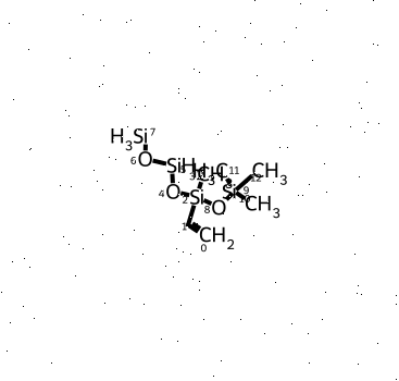 C=C[Si](C)(O[SiH2]O[SiH3])O[Si](C)(C)C